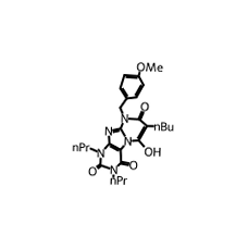 CCCCc1c(O)n2c3c(=O)n(CCC)c(=O)n(CCC)c3nc2n(Cc2ccc(OC)cc2)c1=O